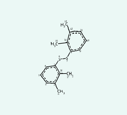 Cc1cccc(SSc2cccc(C)c2C)c1C